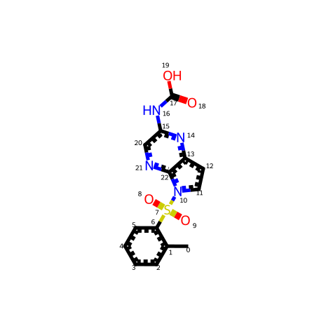 Cc1ccccc1S(=O)(=O)n1ccc2nc(NC(=O)O)cnc21